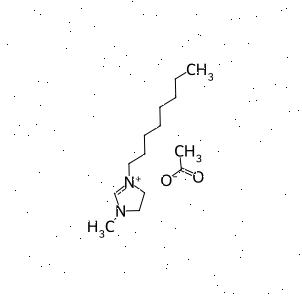 CC(=O)[O-].CCCCCCCC[N+]1=CN(C)CC1